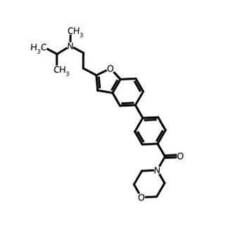 CC(C)N(C)CCc1cc2cc(-c3ccc(C(=O)N4CCOCC4)cc3)ccc2o1